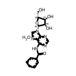 O.O=C(Nc1ncnc2c1ncn2[C@@H]1O[C@H](CO)[C@@H](O)[C@H]1O)c1ccccc1